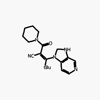 CC(C)(C)C(=C(C#N)C(=O)N1CCCCC1)N1CNc2cnccc21